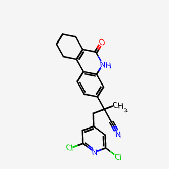 CC(C#N)(Cc1cc(Cl)nc(Cl)c1)c1ccc2c3c(c(=O)[nH]c2c1)CCCC3